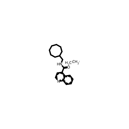 O=C(NC[C]1CCCCCCC1)c1ccnc2ccccc12.[CH2].[CH2]